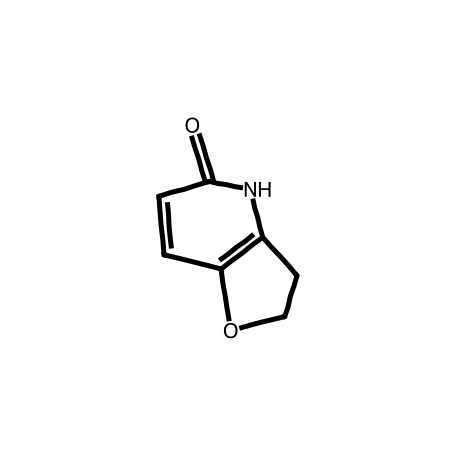 O=c1ccc2c([nH]1)CCO2